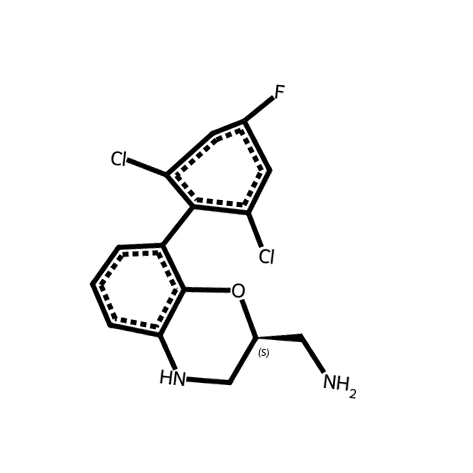 NC[C@H]1CNc2cccc(-c3c(Cl)cc(F)cc3Cl)c2O1